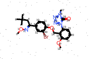 CON=C(CC(C)(C)C)c1ccc(OCc2c(OC)cccc2-n2nnn(C)c2=O)c(Br)c1